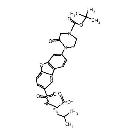 CC(C)C[C@H](NS(=O)(=O)c1ccc2oc3cc(N4CCN(C(=O)OC(C)(C)C)CC4=O)ccc3c2c1)C(=O)O